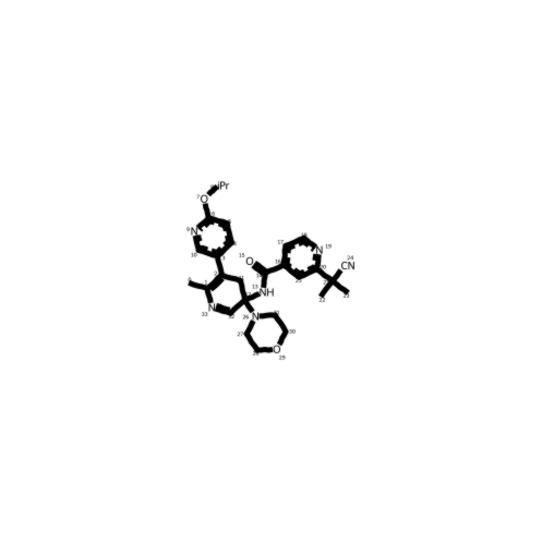 CC1=C(c2ccc(OC(C)C)nc2)CC(NC(=O)c2ccnc(C(C)(C)C#N)c2)(N2CCOCC2)C=N1